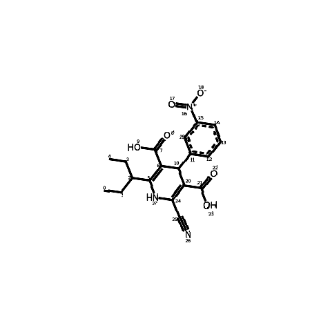 CCC(CC)C1=C(C(=O)O)C(c2cccc([N+](=O)[O-])c2)C(C(=O)O)=C(C#N)N1